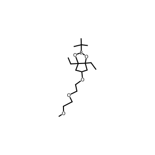 CCC12CC(OCCOCCOC)CC1(CC)OB(C(C)(C)C)O2